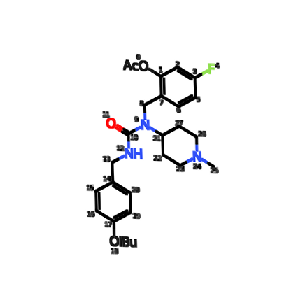 CC(=O)Oc1cc(F)ccc1CN(C(=O)NCc1ccc(OCC(C)C)cc1)C1CCN(C)CC1